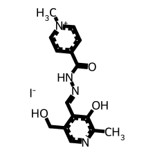 Cc1ncc(CO)c(C=NNC(=O)c2cc[n+](C)cc2)c1O.[I-]